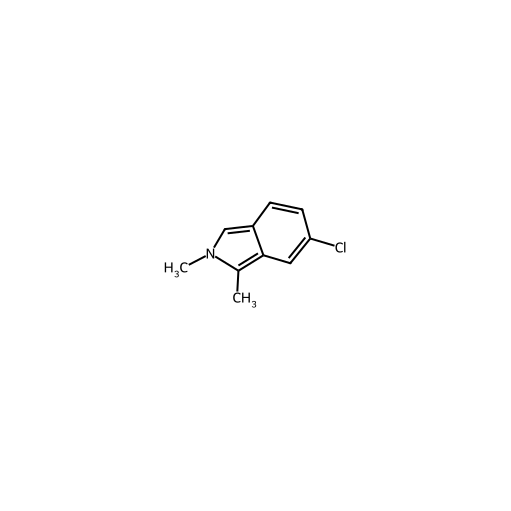 Cc1c2cc(Cl)ccc2cn1C